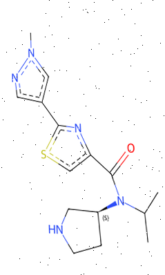 CC(C)N(C(=O)c1csc(-c2cnn(C)c2)n1)[C@H]1CCNC1